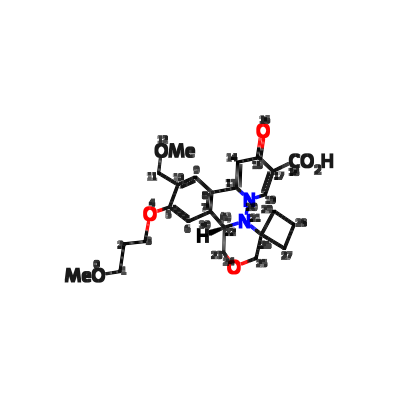 COCCCOc1cc2c(cc1COC)-c1cc(=O)c(C(=O)O)cn1N1[C@@H]2COCC12CCC2